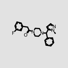 Cn1nccc1C(c1ccccc1)N1CCN(C(=O)Cc2cccc(F)c2)CC1